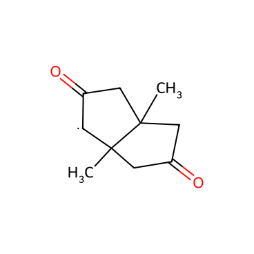 CC12[CH]C(=O)CC1(C)CC(=O)C2